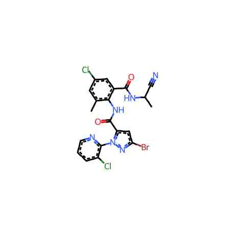 Cc1cc(Cl)cc(C(=O)NC(C)C#N)c1NC(=O)c1cc(Br)nn1-c1ncccc1Cl